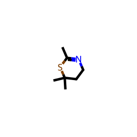 CC1=NCCC(C)(C)S1